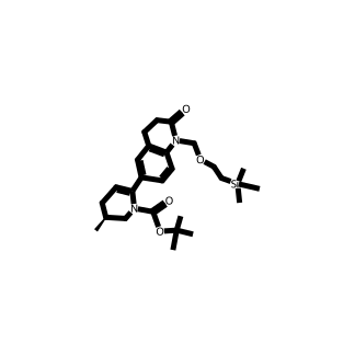 C[C@H]1CC=C(c2ccc3c(c2)CCC(=O)N3COCC[Si](C)(C)C)N(C(=O)OC(C)(C)C)C1